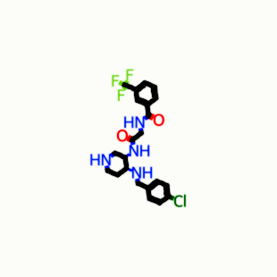 O=C(CNC(=O)c1cccc(C(F)(F)F)c1)N[C@@H]1CNCC[C@@H]1NCc1ccc(Cl)cc1